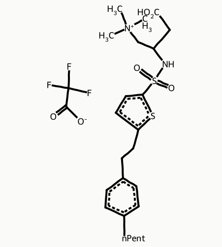 CCCCCc1ccc(CCc2ccc(S(=O)(=O)NC(CC(=O)O)C[N+](C)(C)C)s2)cc1.O=C([O-])C(F)(F)F